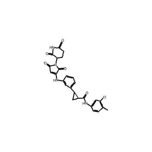 Cc1ccc(NC(=O)C2CC2c2cccc(NC3=CC(=O)N(C4CCC(=O)NC4=O)C3=O)c2)cc1Cl